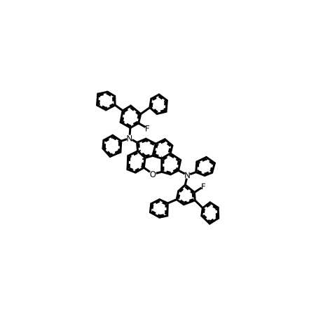 Fc1c(-c2ccccc2)cc(-c2ccccc2)cc1N(c1ccccc1)c1cc2c3c(ccc4cc(N(c5ccccc5)c5cc(-c6ccccc6)cc(-c6ccccc6)c5F)c5cccc(c5c43)O2)c1